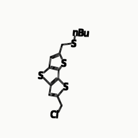 CCCCSCc1cc2sc3cc(CCl)sc3c2s1